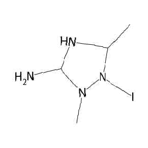 CC1NC(N)N(C)N1I